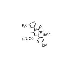 CSc1cc(C#N)ccc1C1NC(=O)N(c2cccc(C(F)(F)F)c2)C(C)=C1OC(=O)O